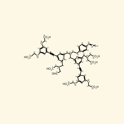 O=CCN(CC(=O)O)Cc1cc(C#Cc2cc(OCC(=O)O)cc(OCC(=O)O)c2)cc(CN(CCc2ccc(N=C=S)cc2)Cc2cc(C#Cc3cc(OCC(=O)O)cc(OCC(=O)O)c3)cc(CN(CC(=O)O)CC(=O)O)n2)n1